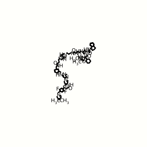 CN[C@@H](C)C(=O)N[C@H](C(=O)N1C[C@@H](NC(=O)CCC(=O)NCCCN2C[C@@H]3CN(CCC(=O)NCc4cccc(CNc5cc(N6CCC7(CC6)CN(c6cc(F)c(CN8CCC(C)(C)CC8)cc6F)CC(=O)N7)ncn5)c4)C[C@@H]3C2)C[C@H]1C(=O)N[C@H]1CCCc2ccccc21)C1CCCCC1